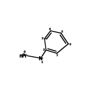 CCC[N]c1[c]cccc1